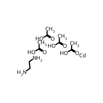 CC(=O)O.CC(=O)O.CC(=O)O.CC(=O)O.NCCN.[Cd]